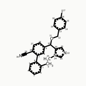 Cc1ccccc1-c1cc(C(OCc2ccc(I)cc2)c2cncn2C)ccc1C#N